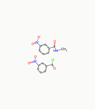 CNC(=O)c1cccc([N+](=O)[O-])c1.O=C(Cl)c1cccc([N+](=O)[O-])c1